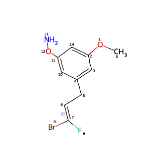 COc1cc(C/C=C(\F)Br)cc(ON)c1